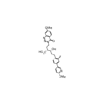 COc1ccc2c(=O)n(CC[C@@H](C(=O)O)[C@H](O)CCc3ccc(-c4ccc(OC)nc4)cc3F)nnc2c1